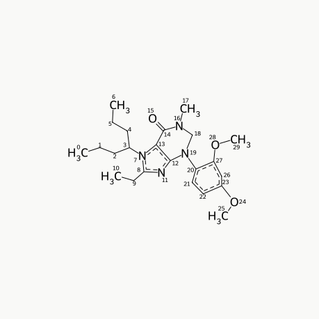 CCCC(CCC)n1c(CC)nc2c1C(=O)N(C)CN2c1ccc(OC)cc1OC